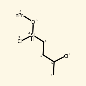 CCCO[SiH](Cl)CCC(C)Cl